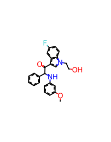 COc1cccc(NC(C(=O)c2cn(CCO)c3ccc(F)cc23)c2ccccc2)c1